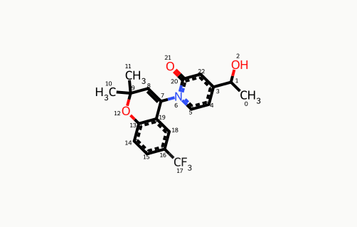 CC(O)c1ccn(C2=CC(C)(C)Oc3ccc(C(F)(F)F)cc32)c(=O)c1